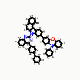 c1ccc(-c2ccc(-c3nc(-n4c5cc(-c6ccc7c(c6)Oc6ccccc6N7c6ccccc6)ccc5c5c6ccccc6ccc54)nc4ccccc34)cc2)cc1